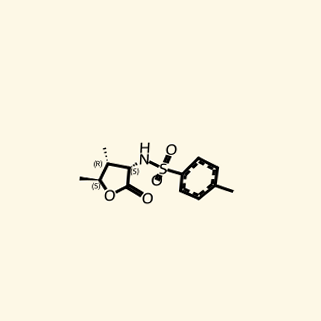 Cc1ccc(S(=O)(=O)N[C@@H]2C(=O)O[C@@H](C)[C@@H]2C)cc1